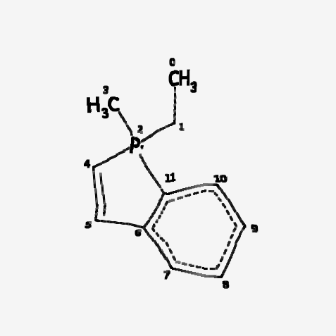 CC[P]1(C)C=Cc2ccccc21